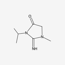 CC(C)N1C(=N)N(C)CC1=O